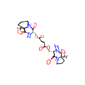 O=C(/C=C/C(=O)OC[C@@H]1NC(=O)[C@@H]2CCCN2C1=O)OC[C@@H]1NC(=O)[C@@H]2CCCN2C1=O